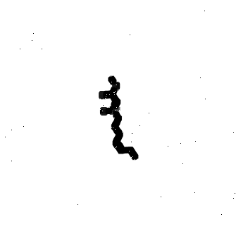 CC/C=C\CCC/[N+]([O-])=C/C(=O)OC